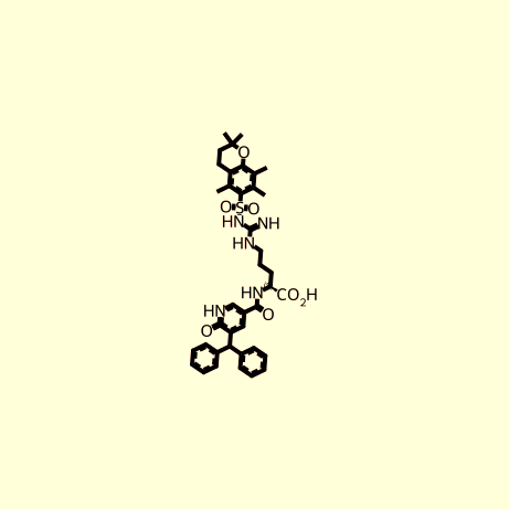 Cc1c(C)c(S(=O)(=O)NC(=N)NCCC[C@H](NC(=O)c2c[nH]c(=O)c(C(c3ccccc3)c3ccccc3)c2)C(=O)O)c(C)c2c1OC(C)(C)CC2